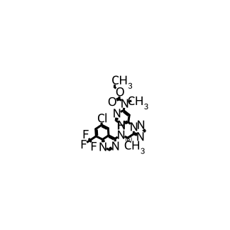 CCOC(=O)N(C)c1cc(-n2ncnc2[C@H](C)Nc2ncnc3c(C(F)(F)F)cc(Cl)cc23)ncn1